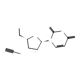 C#CO[C@H]1[C@@H](O)[C@H](n2ccc(=O)[nH]c2=O)O[C@@H]1CO